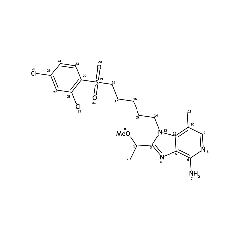 COC(C)c1nc2c(N)ncc(C)c2n1CCCCCS(=O)(=O)c1ccc(Cl)cc1Cl